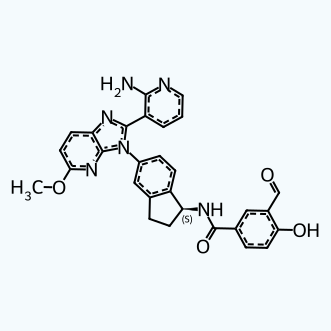 COc1ccc2nc(-c3cccnc3N)n(-c3ccc4c(c3)CC[C@@H]4NC(=O)c3ccc(O)c(C=O)c3)c2n1